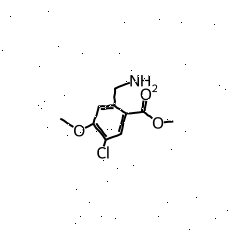 COC(=O)c1cc(Cl)c(OC)cc1CN